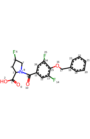 O=C(O)C1CC(F)CN1C(=O)c1cc(F)c(OCc2ccccc2)c(F)c1